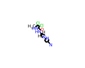 Cc1[nH]c(C(=O)N[C@H]2[C@@H]3CN(c4ccc(C#N)cn4)C[C@@H]32)c(Cl)c1Cl